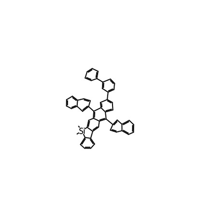 C[Si]1(C)c2ccccc2-c2cc3c(-c4ccc5ccccc5c4)c4ccc(-c5cccc(-c6ccccc6)c5)cc4c(-c4ccc5ccccc5c4)c3cc21